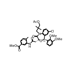 COC(=O)c1ccc(C)c(NC(=O)C[C@H]2O[C@H](c3cccc(OC)c3OC)c3cc(Cl)ccc3N(CC(C)(C)COC(C)=O)C2=O)c1